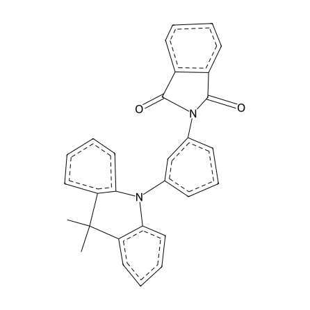 CC1(C)c2ccccc2N(c2cccc(N3C(=O)c4ccccc4C3=O)c2)c2ccccc21